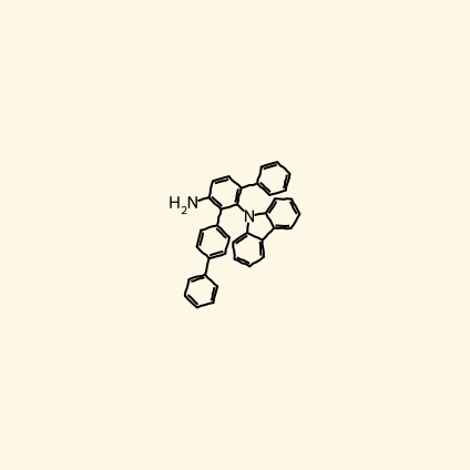 Nc1ccc(-c2ccccc2)c(-n2c3ccccc3c3ccccc32)c1-c1ccc(-c2ccccc2)cc1